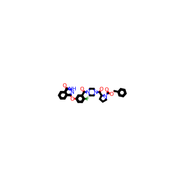 O=C(c1cc(Oc2n[nH]c(=O)c3ccccc23)ccc1F)N1CCN(C(=O)C2CCCN2C(=O)OCc2ccccc2)CC1